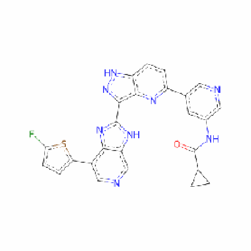 O=C(Nc1cncc(-c2ccc3[nH]nc(-c4nc5c(-c6ccc(F)s6)cncc5[nH]4)c3n2)c1)C1CC1